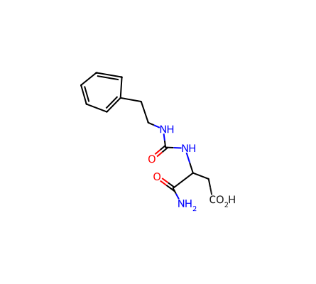 NC(=O)C(CC(=O)O)NC(=O)NCCc1ccccc1